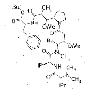 CCC(C)C(C(CC(=O)N1CCCC1C(OC)C(C)C(=O)NC(Cc1ccccc1)C(=O)OC(C)(C)C)OC)N(C)C(=O)[C@@H](NC(=O)C(C(C)C)N(C)C)C(C)C